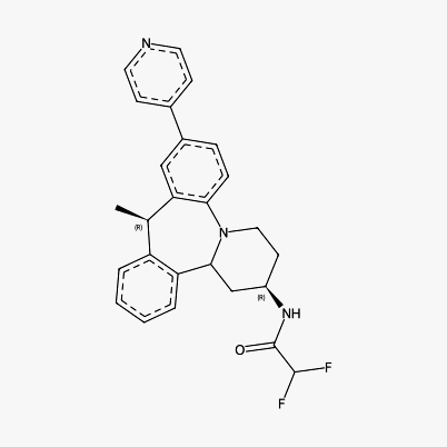 C[C@@H]1c2ccccc2C2C[C@H](NC(=O)C(F)F)CCN2c2ccc(-c3ccncc3)cc21